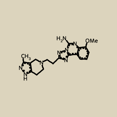 COc1cccc2c1nc(N)n1nc(CCN3CCc4[nH]nc(C)c4C3)nc21